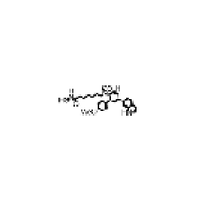 COc1ccc(-c2cc(-c3ccc4cc[nH]c4c3)ccc2N(CCCCCCC(=O)NO)C(=O)O)cc1